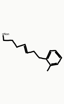 CCCCCCCCCCCC/C=C/CCc1ccccc1C